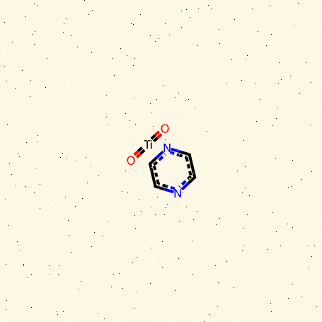 [O]=[Ti]=[O].c1cnccn1